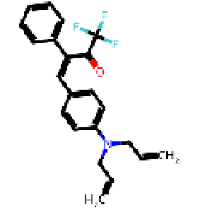 C=CCN(CC=C)c1ccc(C=C(C(=O)C(F)(F)F)c2ccccc2)cc1